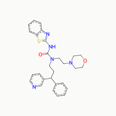 O=C(Nc1nc2ccccc2s1)N(CCC(c1ccccc1)c1cccnc1)CCN1CCOCC1